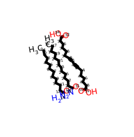 CCCCCCCCCCCCCC(N)=O.CCCCCCCCCCCCCC(N)=O.O=C(O)CCCCCC#CC#CCCCCCC(=O)O